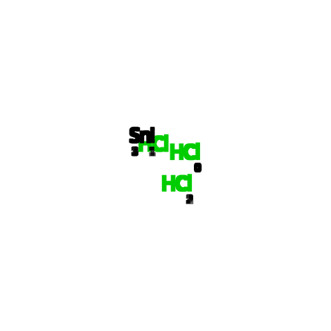 Cl.Cl.Cl.[Sn]